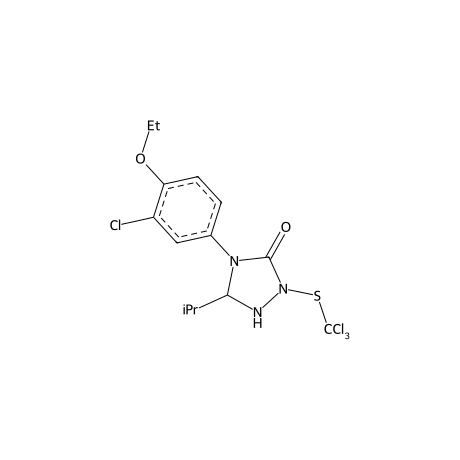 CCOc1ccc(N2C(=O)N(SC(Cl)(Cl)Cl)NC2C(C)C)cc1Cl